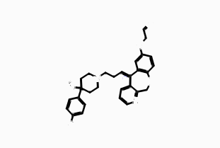 O=CCOc1ccc2c(c1)/C(=C/CCN1CCC(N=O)(c3ccc(Cl)cc3)CC1)c1cccnc1CO2